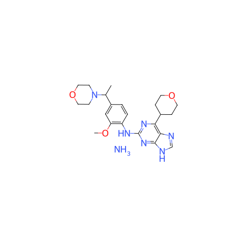 COc1cc(C(C)N2CCOCC2)ccc1Nc1nc(C2CCOCC2)c2nc[nH]c2n1.N